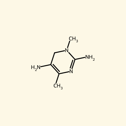 CC1=C(N)CN(C)C(N)=N1